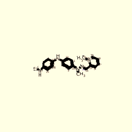 CCNc1ccc(Nc2ccc(N(C)/N=C/c3cccc[n+]3C)cc2)cc1